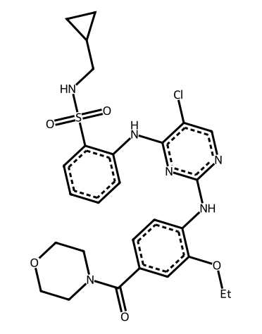 CCOc1cc(C(=O)N2CCOCC2)ccc1Nc1ncc(Cl)c(Nc2ccccc2S(=O)(=O)NCC2CC2)n1